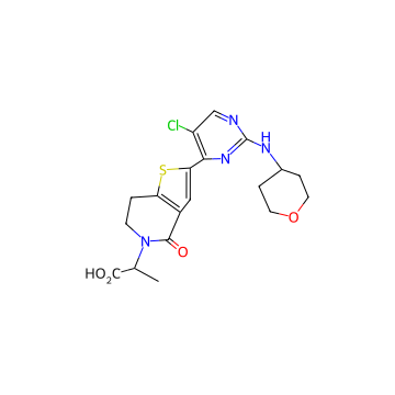 CC(C(=O)O)N1CCc2sc(-c3nc(NC4CCOCC4)ncc3Cl)cc2C1=O